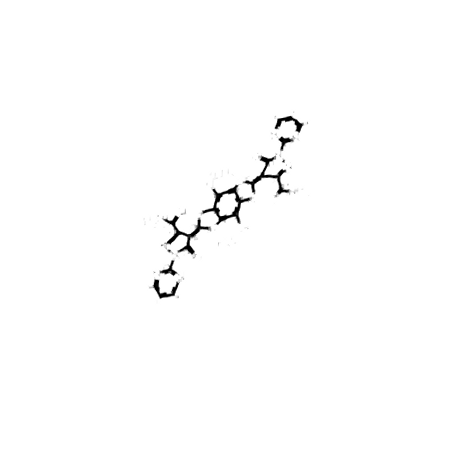 COc1c2c(c(OC)c3c1SC(=C1C(=O)N(c4ncccn4)N=C1C(N)=O)S3)SC(=C1C(=O)N(c3ncccn3)N=C1C(N)=O)S2